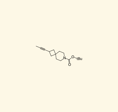 CC#CC1CC2(CCN(C(=O)OC(C)(C)C)CC2)C1